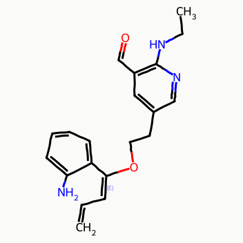 C=C/C=C(/OCCc1cnc(NCC)c(C=O)c1)c1ccccc1N